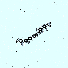 CCN(C)S(=O)(=O)Nc1ccc(F)c(Nc2ccc3ncn([C@@H]4COC5(CCN(C6CCC(c7ccc(NC8CCC(=O)NC8=O)cc7F)CC6)CC5)C4)c(=O)c3c2F)c1C#N